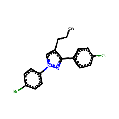 N#CCCc1cn(-c2ccc(Br)cc2)nc1-c1ccc(Cl)cc1